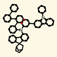 c1ccc(-c2ccccc2-c2ccccc2-c2ccccc2N(c2cccc(-c3ccc4c5ccccc5n(-c5ccccc5)c4c3)c2)c2cccc3c2-c2ccccc2C32CC3CCC2C3)cc1